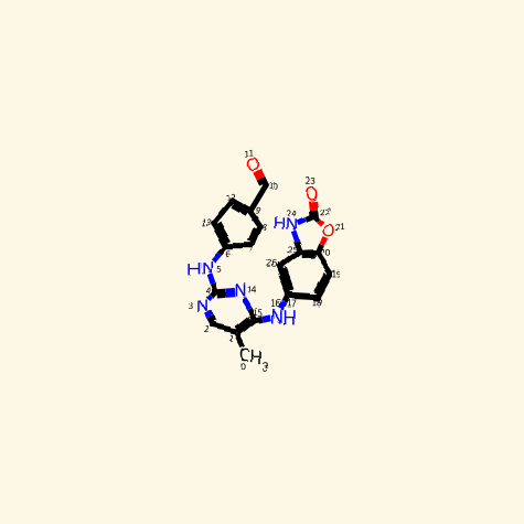 Cc1cnc(Nc2ccc(C=O)cc2)nc1Nc1ccc2oc(=O)[nH]c2c1